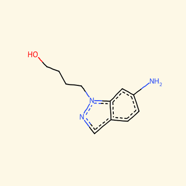 Nc1ccc2cnn(CCCCO)c2c1